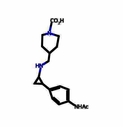 CC(=O)Nc1ccc(C2CC2NCC2CCN(C(=O)O)CC2)cc1